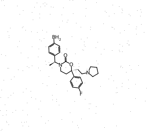 Bc1ccc([C@H](C)N2CC[C@](CCN3CCCC3)(c3ccc(F)cc3)OC2=O)cc1